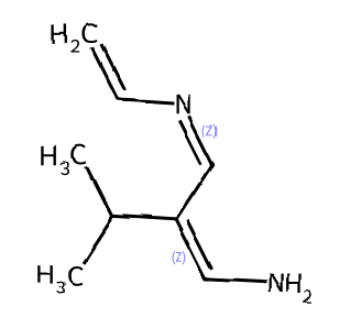 C=C/N=C\C(=C/N)C(C)C